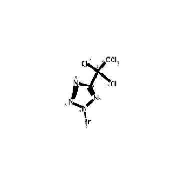 ClC(Cl)(Cl)C(Cl)(Cl)c1nnn(Br)n1